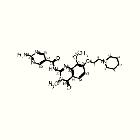 COc1c(OCCN2CCCCC2)ccc2c(=O)n(C)c(NC(=O)c3cnc(N)nc3)nc12